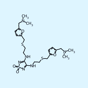 CN(C)Cc1ccc(CSCCNC2=NS(=O)(=O)N=C2NCCSCc2ccc(CN(C)C)o2)o1